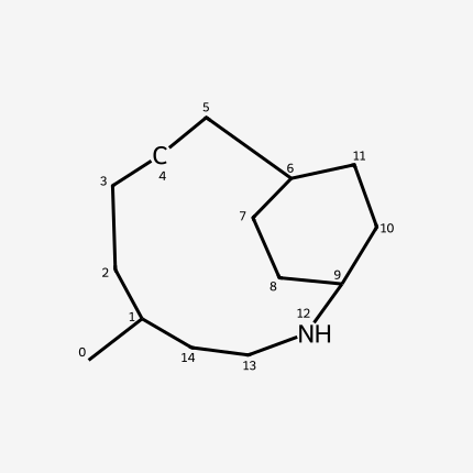 CC1CCCCC2CCC(CC2)NCC1